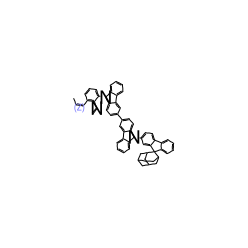 C=Nc1c(/C=C\C)cccc1-n1c2ccccc2c2cc(-c3ccc4c(c3)c3ccccc3n4-c3ccc4c(c3)C3(c5ccccc5-4)C4CC5CC(C4)CC3C5)ccc21